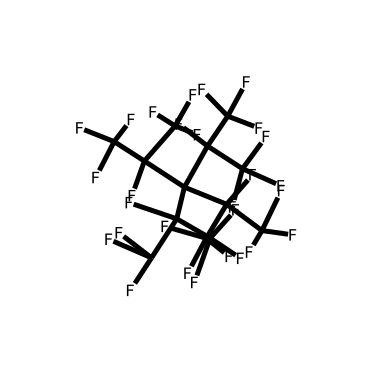 FC(F)(F)C(F)(C(F)(F)F)C(C(F)(C(F)(F)F)C(F)(F)F)(C(F)(C(F)(F)F)C(F)(F)F)C(F)(C(F)(F)F)C(F)(F)F